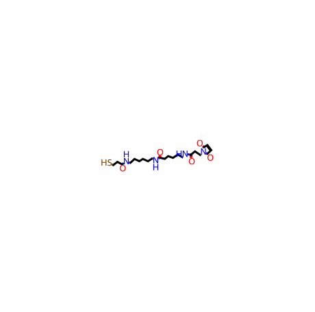 O=C(CCS)NCCCCCCNC(=O)CCCCCNC(=O)CCN1C(=O)C=CC1=O